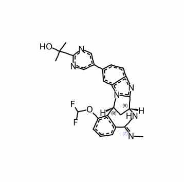 C/N=C1\N[C@@H]2C[C@H](c3c(OC(F)F)cccc31)n1c2nc2ccc(-c3cnc(C(C)(C)O)nc3)cc21